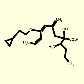 C=C(/C=C(\C=C/C)OCCC1CC1)CC(O)(C(=O)O)C(N)CCC(F)(F)F